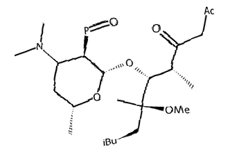 CC[C@H](C)C[C@@](C)(OC)[C@H](O[C@@H]1O[C@H](C)CC(N(C)C)[C@H]1P=O)[C@@H](C)C(=O)CC(C)=O